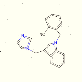 N#Cc1ccccc1Cn1cc(Cn2ccnc2)c2ccccc21